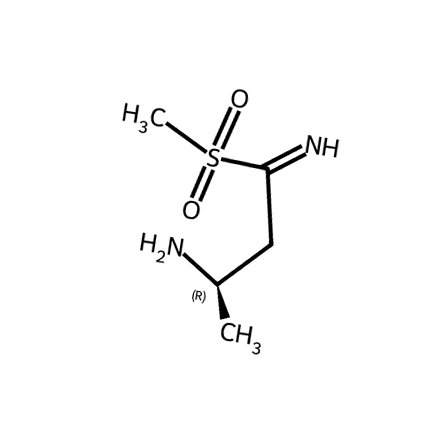 C[C@@H](N)CC(=N)S(C)(=O)=O